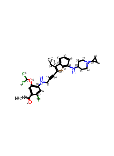 CNC(=O)c1cc(OC(F)F)c(NCC#Cc2sc3c(NC4CCN(C5CC5)CC4)cccc3c2CC(F)(F)F)cc1F